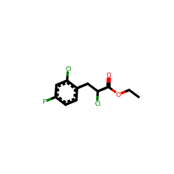 CCOC(=O)C(Cl)Cc1c[c]c(F)cc1Cl